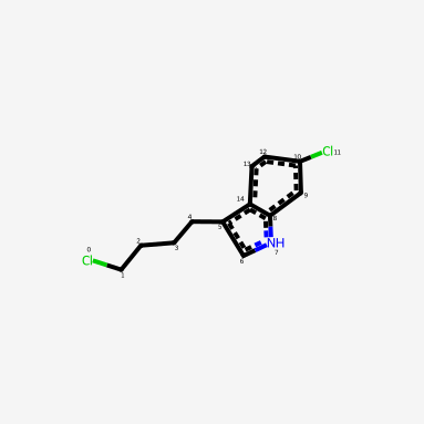 ClCCCCc1c[nH]c2cc(Cl)ccc12